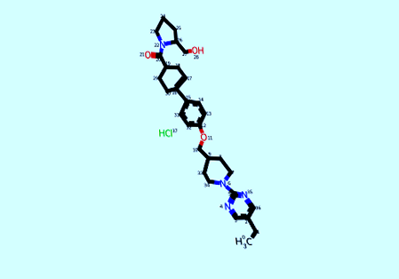 CCc1cnc(N2CCC(COc3ccc(C4=CCC(C(=O)N5CCCC5CO)CC4)cc3)CC2)nc1.Cl